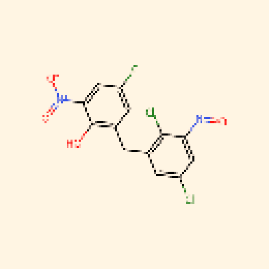 O=Nc1cc(Cl)cc(Cc2cc(Cl)cc([N+](=O)[O-])c2O)c1Cl